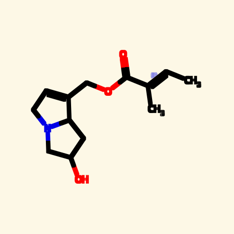 C/C=C(\C)C(=O)OCC1=CCN2CC(O)CC12